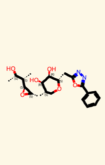 C[C@H]([C@@H]1O[C@H]1C[C@H]1CO[C@@H](Cc2nnc(-c3ccccc3)o2)[C@H](O)[C@@H]1O)[C@H](C)O